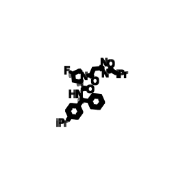 CC(C)c1ccc([C@@H](NC(=O)[C@@H]2C[C@@H](F)CN2C(=O)Cc2noc(C(C)C)n2)c2ccccc2)cc1